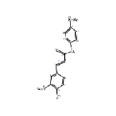 COc1cc(/C=C/C(=O)Oc2ccc(NC(C)=O)cc2)ccc1C(C)C